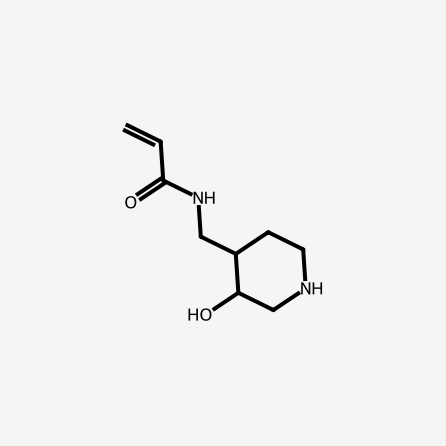 C=CC(=O)NCC1CCNCC1O